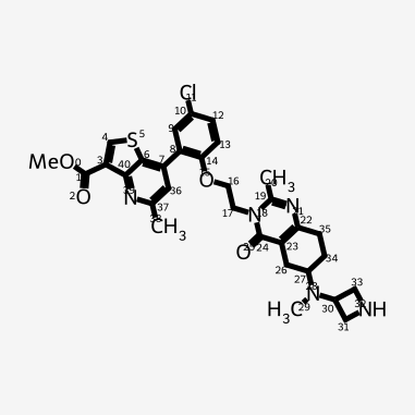 COC(=O)c1csc2c(-c3cc(Cl)ccc3OCCn3c(C)nc4c(c3=O)CC(N(C)C3CNC3)CC4)cc(C)nc12